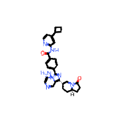 N[N+]12C=CN=CC1=C([C@H]1CC[C@@H]3CCC(=O)N3C1)N=C2c1ccc(C(=O)Nc2cc(C3CCC3)ccn2)cc1